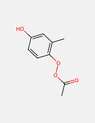 CC(=O)OOc1ccc(O)cc1C